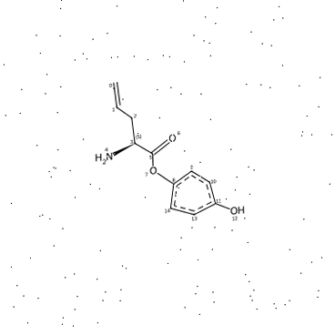 C=CC[C@H](N)C(=O)Oc1ccc(O)cc1